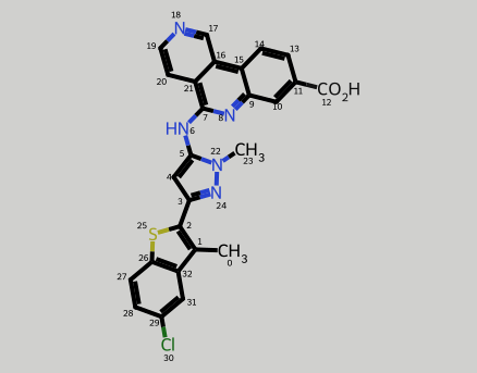 Cc1c(-c2cc(Nc3nc4cc(C(=O)O)ccc4c4cnccc34)n(C)n2)sc2ccc(Cl)cc12